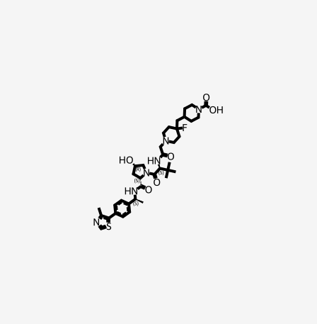 Cc1ncsc1-c1ccc([C@H](C)NC(=O)[C@@H]2C[C@@H](O)CN2C(=O)[C@@H](NC(=O)CN2CCC(F)(CC3CCN(C(=O)O)CC3)CC2)C(C)(C)C)cc1